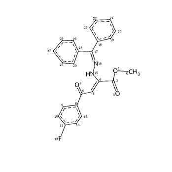 COC(=O)C(=CC(=O)c1ccc(F)cc1)NN=C(c1ccccc1)c1ccccc1